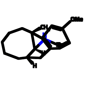 COc1ccc2c(c1)[C@@]1(C)CCCCC[C@@H](C2)[C@@H]1NC(C)C